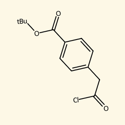 CC(C)(C)OC(=O)c1ccc(CC(=O)Cl)cc1